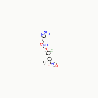 Cc1cc(-c2cc(Cl)c3c(c2)CC(CNC(=O)/C=C/c2ccc(N)nc2)O3)ccc1C(=O)N1CCOCC1